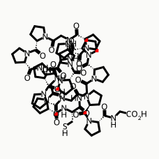 O=C(O)CNC(=O)[C@@H]1CCCN1C(=O)[C@@H]1CCCN1C(=O)CNC(=O)[C@@H]1CCCN1C(=O)[C@@H]1CCCN1C(=O)CNC(=O)[C@@H]1CCCN1C(=O)[C@@H]1CCCN1C(=O)CNC(=O)[C@H](CS)NC(=O)[C@@H]1CCCN1C(=O)CNC(=O)[C@@H]1CCCN1C(=O)[C@@H]1CCCN1C(=O)CNC(=O)[C@@H]1CCCN1C(=O)[C@@H]1CCCN1C(=O)CNC(=O)[C@@H]1CCCN1C(=O)[C@@H]1CCCN1